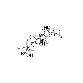 CC(C)c1cc(C(=O)N(C)Cc2cccc(CNC(C)(C)C(=O)O)c2)c(O)cc1O